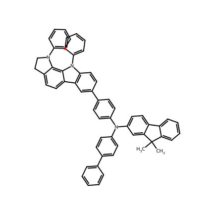 CC1(C)c2ccccc2-c2ccc(N(c3ccc(-c4ccccc4)cc3)c3ccc(-c4ccc5c(c4)c4ccc6c(c4n5-c4ccccc4)N(c4ccccc4)CC6)cc3)cc21